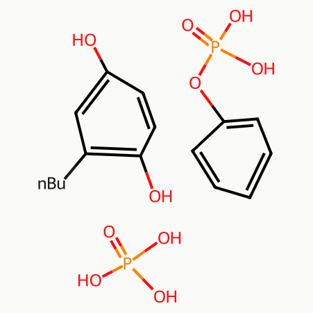 CCCCc1cc(O)ccc1O.O=P(O)(O)O.O=P(O)(O)Oc1ccccc1